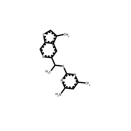 Cc1csc2cnc(C(C)Sc3nc(N)cc(C(F)(F)F)n3)cc12